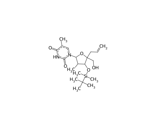 C=CCC1(CO)OC(n2cc(C)c(=O)[nH]c2=O)C(C)C1O[Si](C)(C)C(C)(C)C